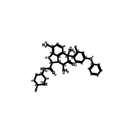 Cc1cc(Oc2ccccc2)ccc1C1(N)C(=O)C(N)C2c3c1ccc(N)c3SC2C(=O)NC1CC[C@H](C)NC1